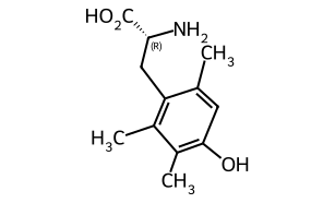 Cc1cc(O)c(C)c(C)c1C[C@@H](N)C(=O)O